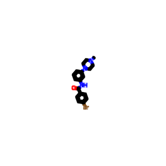 CN1CCN(c2cccc(NC(=O)c3ccc(Br)cc3)c2)CC1